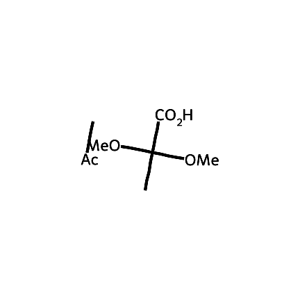 CC(C)=O.COC(C)(OC)C(=O)O